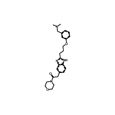 CN(C)Cc1cccc(OCCCc2nc3cc(CC(=O)N4CCOCC4)ccc3[nH]2)c1